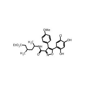 CCOC(=O)CC(C)CC(C)NC(=O)c1noc(-c2cc(Cl)c(O)cc2O)c1-c1ccc(OC)cc1